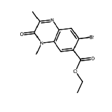 CCOC(=O)c1cc2c(cc1Br)nc(C)c(=O)n2C